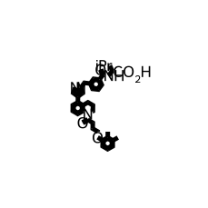 Cc1cccc(OCCCC(=O)N2CCCc3c(-c4cnn(Cc5cccc(C(=O)NC(C(=O)O)C(C)C)c5)c4)cccc32)c1C